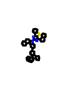 c1ccc2c(c1)-c1cc(-c3ccc4c(c3)c3c5ccccc5ccc3n4-c3nc(-c4cccc5ccccc45)c4sc5ccccc5c4n3)ccc1C21C2CC3CC(C2)CC1C3